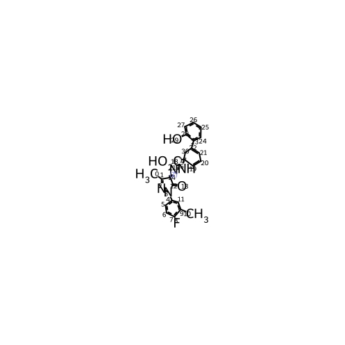 CC1=NN(c2ccc(F)c(C)c2)C(=O)/C1=N\NC1(C(=O)O)C=CC=C(c2ccccc2O)C1